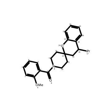 COc1ccccc1C(=O)N1CCC2(CC1)CC(C(C)C)c1ccccc1O2